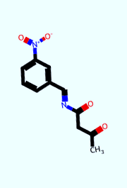 CC(=O)CC(=O)N=Cc1cccc([N+](=O)[O-])c1